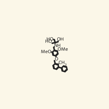 COc1cc(OCc2cccc(-c3ccccc3)c2C)cc(OC)c1CNC(CO)(CO)CO